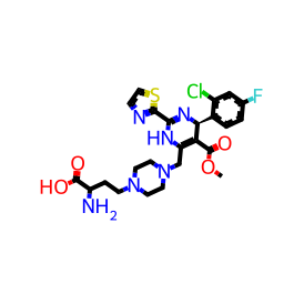 COC(=O)C1=C(CN2CCN(CCC(N)C(=O)O)CC2)NC(c2nccs2)=N[C@H]1c1ccc(F)cc1Cl